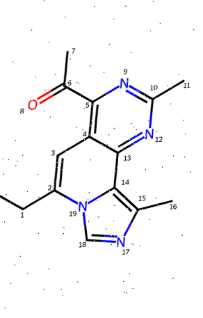 CCc1cc2c(C(C)=O)nc(C)nc2c2c(C)ncn12